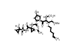 C=CCCCC[C@@H](COC)[C@H](NC(=O)O)C(=O)N1C[C@H](O)C[C@H]1C(=O)N[C@]1(C(=O)NS(=O)(=O)C2(C)CC2)C[C@H]1C=C